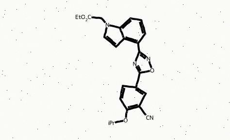 CCOC(=O)Cn1ccc2c(-c3noc(-c4ccc(OC(C)C)c(C#N)c4)n3)cccc21